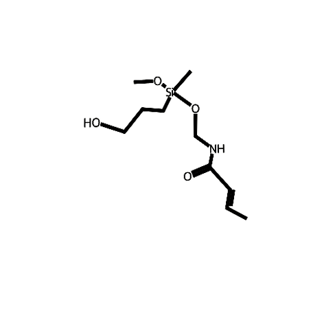 CC=CC(=O)NCO[Si](C)(CCCO)OC